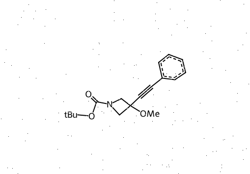 COC1(C#Cc2ccccc2)CN(C(=O)OC(C)(C)C)C1